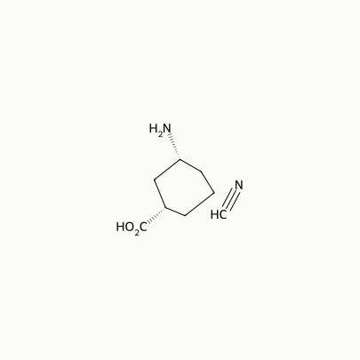 C#N.N[C@@H]1CCC[C@H](C(=O)O)C1